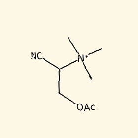 CC(=O)OCC(C#N)[N+](C)(C)C